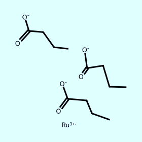 CCCC(=O)[O-].CCCC(=O)[O-].CCCC(=O)[O-].[Ru+3]